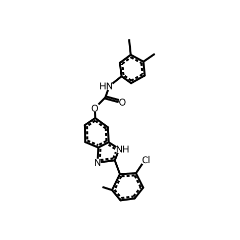 Cc1ccc(NC(=O)Oc2ccc3nc(-c4c(C)cccc4Cl)[nH]c3c2)cc1C